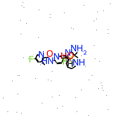 Cc1cc(F)cnc1C(=O)NC1C=CC(F)([C@@]2(C)N=C(N)C(C)(C)S3(O)NCCCC[C@@H]23)C=N1